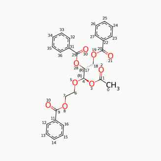 CC(=O)O[C@@H](OCCOC(=O)c1ccccc1)[C@@H](COC(=O)c1ccccc1)OC(=O)c1ccccc1